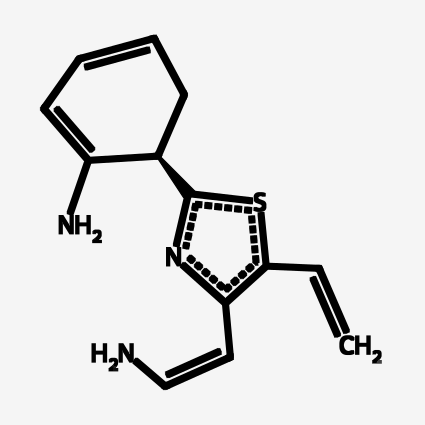 C=Cc1sc([C@@H]2CC=CC=C2N)nc1/C=C\N